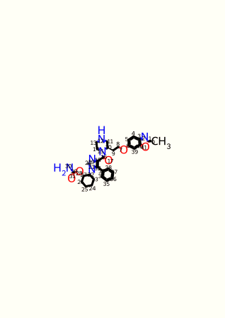 Cc1nc2ccc(OCC[C@@H]3CNCCN3C(=O)c3ncn([C@H]4CCCC[C@@H]4OC(N)=O)c3-c3ccccc3)cc2o1